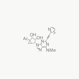 CNc1nc(C#Cc2nccs2)nc2c1ncn2[C@@H]1C2C[C@]2(C(C)=O)C(O)[C@H]1O